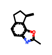 C=C1CCc2ccc3nc(C)oc3c21